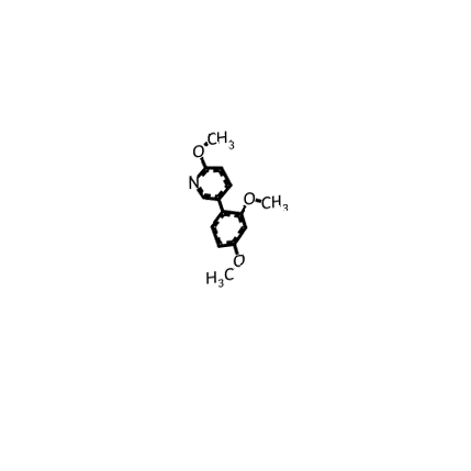 COc1ccc(-c2ccc(OC)nc2)c(OC)c1